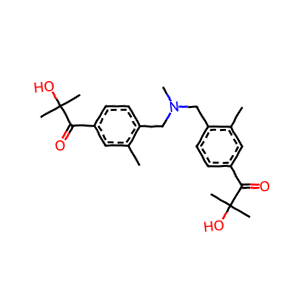 Cc1cc(C(=O)C(C)(C)O)ccc1CN(C)Cc1ccc(C(=O)C(C)(C)O)cc1C